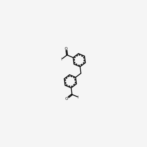 O=C(I)c1cccc(Cc2cccc(C(=O)I)c2)c1